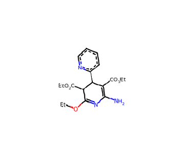 CCOC(=O)C1=C(N)N=C(OCC)C(C(=O)OCC)C1c1ccccn1